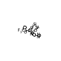 C[Si](C)(C)CCOCn1cc(C(=O)c2ccccc2C(F)(F)F)cc1-c1nc2ccc(-c3ncccn3)cc2n1COCC[Si](C)(C)C